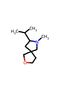 CC(C)C1CC2(CCOC2)CN1C